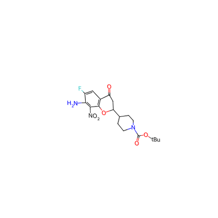 CC(C)(C)OC(=O)N1CCC(C2CC(=O)c3cc(F)c(N)c([N+](=O)[O-])c3O2)CC1